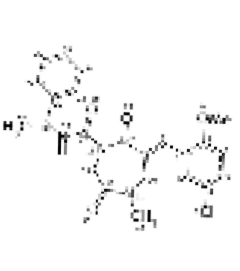 COc1ccc(Cl)cc1C=C1CN(C)C(=O)CN(C(=O)N[C@H](C)c2ccccc2)C1=O